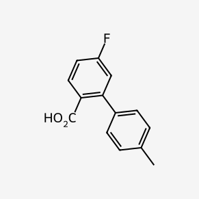 Cc1ccc(-c2cc(F)ccc2C(=O)O)cc1